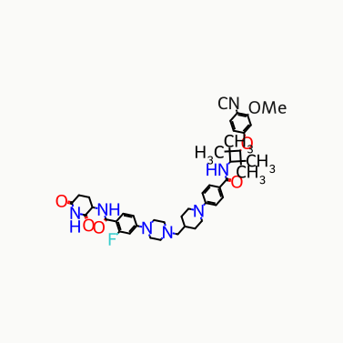 COc1cc(OC2C(C)(C)C(NC(=O)c3ccc(N4CCC(CN5CCN(c6ccc(C(=O)NC7CCC(=O)NC7=O)c(F)c6)CC5)CC4)cc3)C2(C)C)ccc1C#N